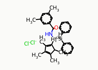 CC1=C(C)C(C)[C]([Hf+2]([NH]C(=O)c2cc(C)cc(C)c2)[SiH](c2ccccc2)c2ccccc2)=C1C.[Cl-].[Cl-]